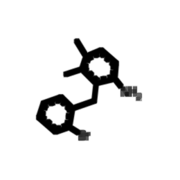 Cc1ccc(N)c(Cc2ccccc2Br)c1C